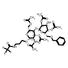 CC(=O)N[C@H]1[C@H](OCCCNC(=O)C(F)(F)F)O[C@H](COC(C)=O)[C@@H](O[C@H]2O[C@@H](COCc3ccccc3)[C@@H](OC(C)=O)[C@@H](O)[C@@H]2OC(C)=O)[C@@H]1OC(C)=O